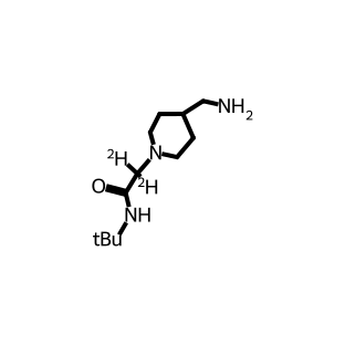 [2H]C([2H])(C(=O)NC(C)(C)C)N1CCC(CN)CC1